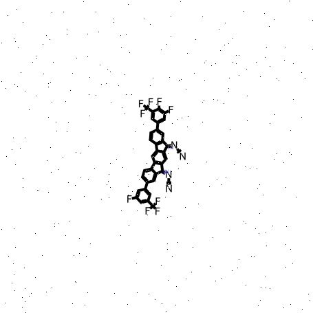 N#C/N=c1/c2cc(-c3cc(F)c(F)c(C(F)(F)F)c3)ccc2c2cc3c(cc12)/c(=N/C#N)c1cc(-c2cc(F)cc(C(F)(F)F)c2)ccc13